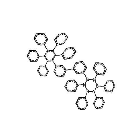 c1ccc(B2N(c3ccccc3)B(c3ccccc3)N(c3ccccc3)B(c3cccc(-c4cccc(-c5c(-c6ccccc6)c(-c6ccccc6)c(-c6ccccc6)c(-c6ccccc6)c5-c5ccccc5)c4)c3)N2c2ccccc2)cc1